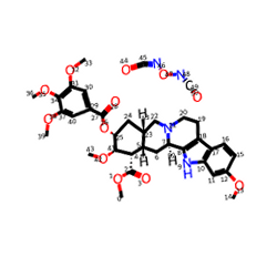 COC(=O)[C@H]1[C@H]2C[C@@H]3c4[nH]c5cc(OC)ccc5c4CCN3C[C@H]2C[C@@H](OC(=O)c2cc(OC)c(OC)c(OC)c2)[C@@H]1OC.O=C=NON=C=O